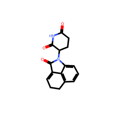 O=C1CCC(N2C(=O)C3=CCCc4cccc2c43)C(=O)N1